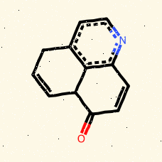 O=C1C=Cc2nccc3c2C1C=CC3